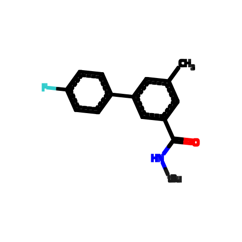 Cc1cc(C(=O)NC(C)(C)C)cc(-c2ccc(F)cc2)c1